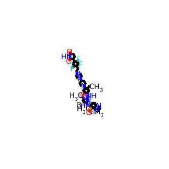 CCc1cc(Nc2ncc(Br)c(Nc3ccc4nccnc4c3P(C)(C)=O)n2)c(OC)cc1N1CCC(N2CCN(CCc3c(F)c(F)c(C4CCC(=O)NC4=O)c(F)c3F)CC2)CC1